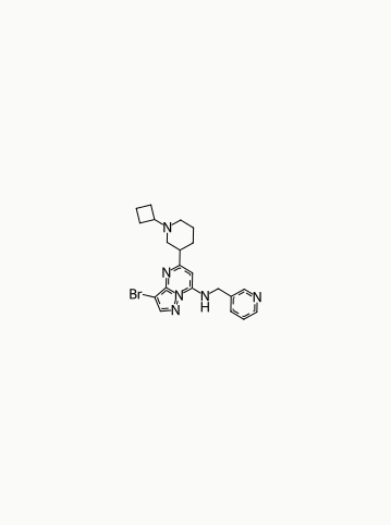 Brc1cnn2c(NCc3cccnc3)cc(C3CCCN(C4CCC4)C3)nc12